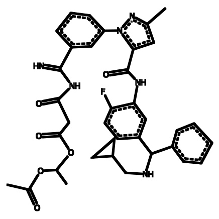 CC(=O)OC(C)OC(=O)CC(=O)NC(=N)c1cccc(-n2nc(C)cc2C(=O)Nc2cc(C(NCC3CC3)c3ccccc3)ccc2F)c1